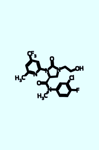 Cc1cc(C(F)(F)F)cc(N2C(=O)N(CCO)C[C@H]2C(=O)N(C)c2ccc(F)c(Cl)c2)n1